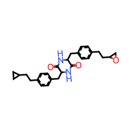 O=C1NC(Cc2ccc(CCC3CO3)cc2)C(=O)NC1Cc1ccc(CCC2CC2)cc1